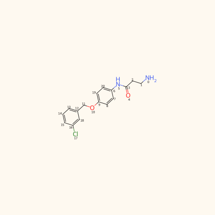 NCCC(=O)Nc1ccc(OCc2cccc(Cl)c2)cc1